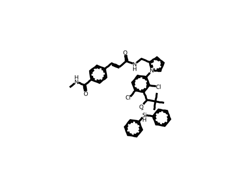 CNC(=O)c1ccc(C=CC(=O)NCc2cccn2-c2ccc(Cl)c(C(O[SiH](c3ccccc3)c3ccccc3)C(C)(C)C)c2Cl)cc1